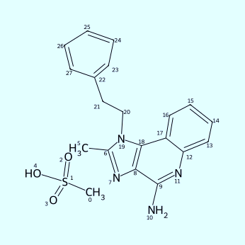 CS(=O)(=O)O.Cc1nc2c(N)nc3ccccc3c2n1CCc1ccccc1